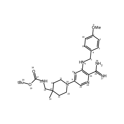 COc1ccc(CNc2nc(N3CCC(C)(CNC(=O)OC(C)(C)C)CC3)cnc2C(=N)N)cc1